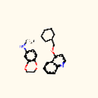 O=C(O)Nc1ccc2c(c1)OCCO2.c1ccc2c(OCC3CCCCC3)ccnc2c1